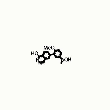 COc1ccc(B(C)O)cc1-c1ccc2c(O)nncc2c1